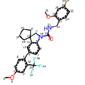 COc1ccc(-c2ccc3c(c2)C2(CCCC2)CN3C(=O)NCc2ccc(Br)cc2OC)c(C(F)(F)F)c1